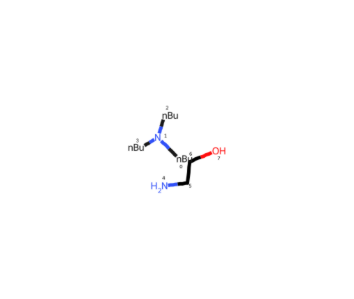 CCCCN(CCCC)CCCC.NCCO